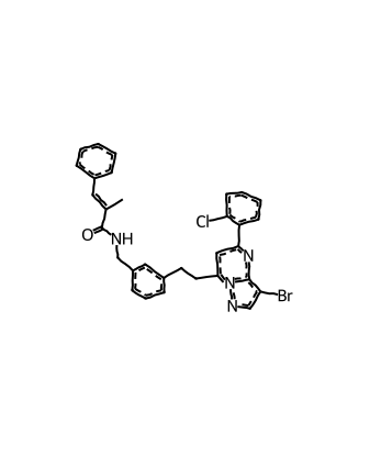 C/C(=C\c1ccccc1)C(=O)NCc1cccc(CCc2cc(-c3ccccc3Cl)nc3c(Br)cnn23)c1